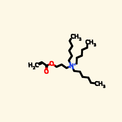 C=CC(=O)OCCC[N+](CCCCCC)(CCCCCC)CCCCCC